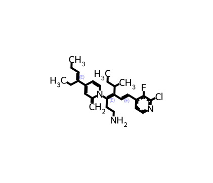 C=C1C=C(/C(=C/CC)CC)C=CN1/C(CCN)=C(/C=C/c1ccnc(Cl)c1F)C(C)CC